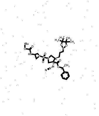 C[C@@H](OC(=O)[C@@]1(N=[N+]=[N-])CN(S(=O)(=O)N2CC(NC(=O)OC(C)(C)C)C2)C[C@H]1CCCB1OC(C)(C)C(C)(C)O1)c1ccccc1